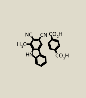 Cc1c(C#N)c(C#N)cc2c1[nH]c1ccccc12.O=C(O)c1ccc(C(=O)O)cc1